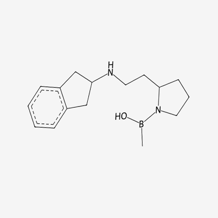 CB(O)N1CCCC1CCNC1Cc2ccccc2C1